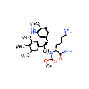 CC(C)(C)OC(=O)N[C@@H](CCCCN)C(N)=O.COc1ccc(C=C(C#N)c2cc(OC)c(OC)c(OC)c2)cc1N